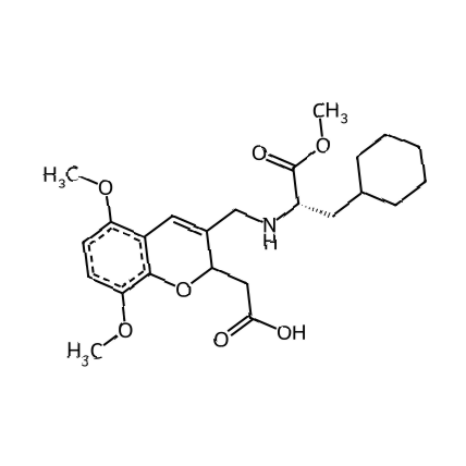 COC(=O)[C@H](CC1CCCCC1)NCC1=Cc2c(OC)ccc(OC)c2OC1CC(=O)O